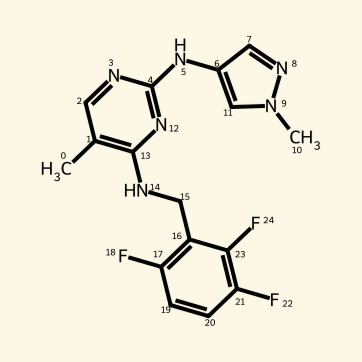 Cc1cnc(Nc2cnn(C)c2)nc1NCc1c(F)ccc(F)c1F